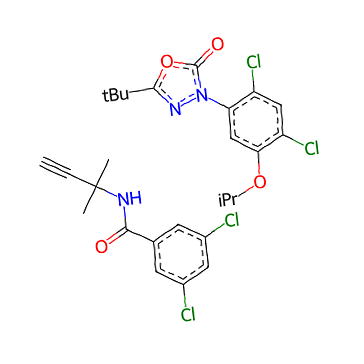 C#CC(C)(C)NC(=O)c1cc(Cl)cc(Cl)c1.CC(C)Oc1cc(-n2nc(C(C)(C)C)oc2=O)c(Cl)cc1Cl